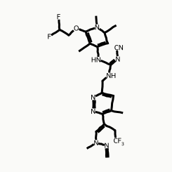 C=NN(C)/C=C(\CC(F)(F)F)c1nnc(CN/C(=N/C#N)NC2=CC(C)N(C)C(OCC(F)F)=C2C)cc1C